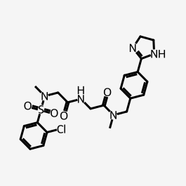 CN(Cc1ccc(C2=NCCN2)cc1)C(=O)CNC(=O)CN(C)S(=O)(=O)c1ccccc1Cl